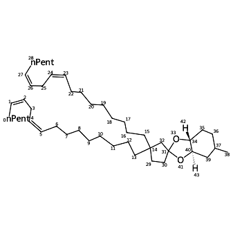 CCCCC/C=C\C/C=C\CCCCCCCCC1(CCCCCCCC/C=C\C/C=C\CCCCC)CCC2(C1)O[C@@H]1CCC(C)C[C@H]1O2